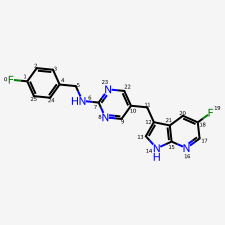 Fc1ccc(CNc2ncc(Cc3c[nH]c4ncc(F)cc34)cn2)cc1